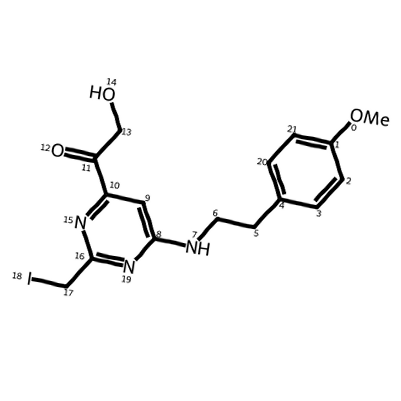 COc1ccc(CCNc2cc(C(=O)CO)nc(CI)n2)cc1